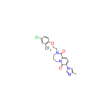 Cc1cn(-c2ccc3n(c2=O)CCCN(CCOc2ccc(Cl)cc2C(F)(F)F)C3=O)cn1